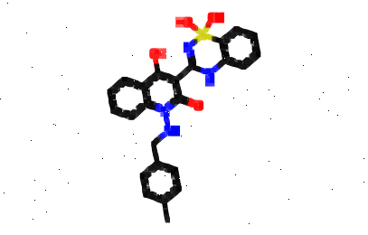 Cc1ccc(CNn2c(=O)c(C3=NS(O)(O)c4ccccc4N3)c(O)c3ccccc32)cc1